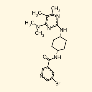 Cc1nc(N[C@H]2CC[C@@H](NC(=O)c3cncc(Br)c3)CC2)nc(N(C)C)c1C